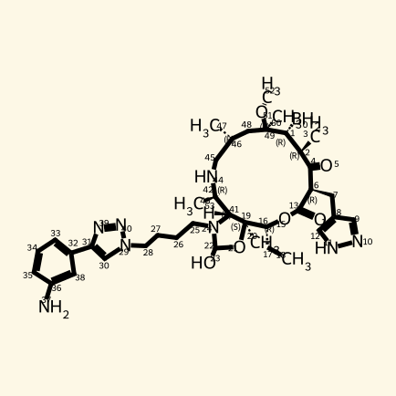 B[C@@H]1[C@@H](C)C(=O)[C@@H](Cc2cn[nH]c2)C(=O)O[C@H](CC)[C@@]2(C)OC(O)N(CCCCn3cc(-c4cccc(N)c4)nn3)[C@@H]2[C@@H](C)NC[C@H](C)C[C@@]1(C)OC